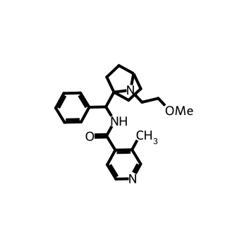 COCCN1C2CCC1(C(NC(=O)c1ccncc1C)c1ccccc1)CC2